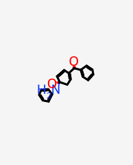 NC1(Oc2ccccc2)C=CC(C(=O)c2ccccc2)=CC1